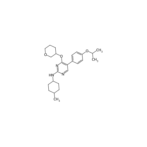 CC1CCC(Nc2ncc(-c3ccc(OC(C)C)cc3)c(OC3CCCOC3)n2)CC1